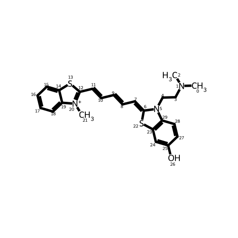 CN(C)CCN1/C(=C/C=C/C=C/c2sc3ccccc3[n+]2C)Sc2cc(O)ccc21